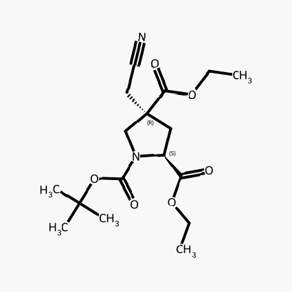 CCOC(=O)[C@@H]1C[C@](CC#N)(C(=O)OCC)CN1C(=O)OC(C)(C)C